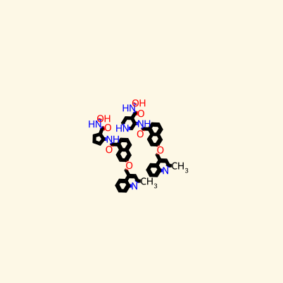 Cc1cc(COc2ccc3c(C(=O)NC4CCCC4C(=O)NO)cccc3c2)c2ccccc2n1.Cc1cc(COc2ccc3c(C(=O)NC4CNCCC4C(=O)NO)cccc3c2)c2ccccc2n1